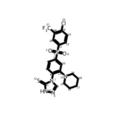 O=S(=O)(c1ccc(-n2cn[nH]c2=S)c(N2CCCCC2)c1)c1ccc(Cl)c(C(F)(F)F)c1